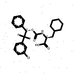 O=C(N[C@@H](CC1CCCCC1)C(=O)O)O[C@@H](c1ccccc1)C(F)(F)c1cccc(Cl)c1